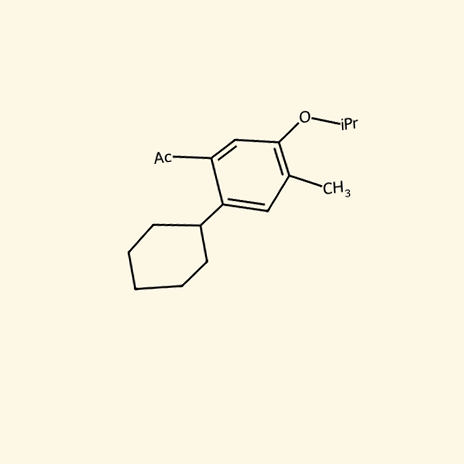 CC(=O)c1cc(OC(C)C)c(C)cc1C1CCCCC1